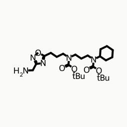 CC(C)(C)OC(=O)N(CCCc1nc(CN)no1)CCCN(C(=O)OC(C)(C)C)C1CCCCC1